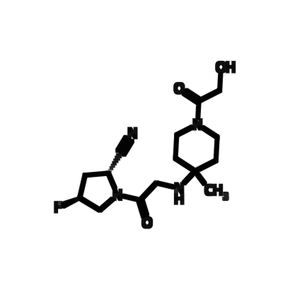 CC1(NCC(=O)N2C[C@@H](F)C[C@@H]2C#N)CCN(C(=O)CO)CC1